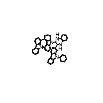 c1ccc(-n2c3ccccc3c3ccc(C4Nc5ccccc5NC4n4c5cccc6c7cccc8c9ccccc9n(c9cccc4c9c65)c78)cc32)cc1